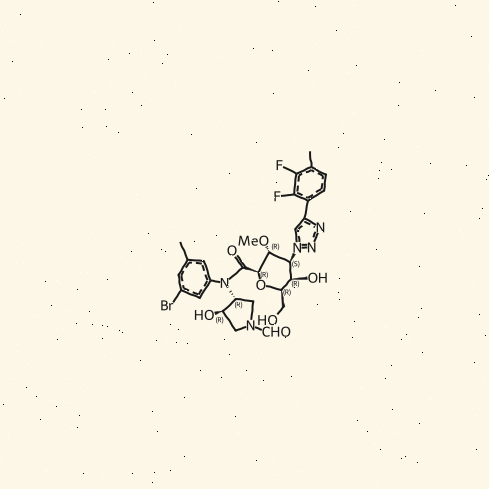 CO[C@@H]1[C@@H](n2cc(-c3ccc(C)c(F)c3F)nn2)[C@@H](O)[C@@H](CO)O[C@H]1C(=O)N(c1cc(C)cc(Br)c1)[C@@H]1CN(C=O)C[C@H]1O